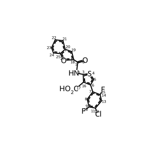 O=C(Nc1scc(-c2cc(F)c(Cl)cc2F)c1C(=O)O)c1cc2ccccc2o1